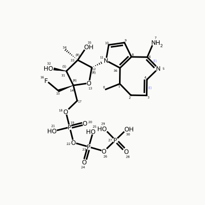 CC1C/C=C/N=C(/N)c2ccn([C@@H]3O[C@](CF)(COP(=O)(O)OP(=O)(O)OP(=O)(O)O)[C@@H](O)[C@@]3(C)O)c21